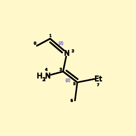 C/C=N\C(N)=C(\C)CC